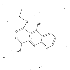 CCOC(=O)c1nc2ncccc2c(O)c1C(=O)OCC